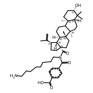 C=C(C)[C@@H]1CC[C@]2(C(=O)N(CCCCCCCCN)C(=O)c3ccc(C(=O)O)cc3)CC[C@]3(C)[C@H](CCC4[C@@]5(C)CC[C@H](O)C(C)(C)[C@@H]5CC[C@]43C)[C@@H]12